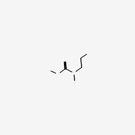 CCCN(CCCl)C(=O)OC(C)(C)C